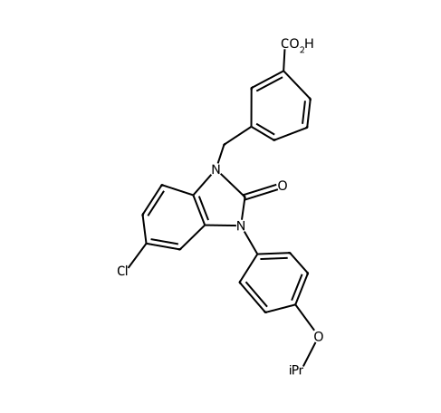 CC(C)Oc1ccc(-n2c(=O)n(Cc3cccc(C(=O)O)c3)c3ccc(Cl)cc32)cc1